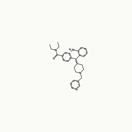 CCN(CC)C(=O)c1ccc(C(=C2CCN(Cc3cccnc3)CC2)c2ccccc2N)cc1